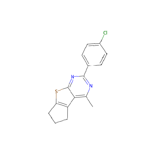 Cc1nc(-c2ccc(Cl)cc2)nc2sc3c(c12)CCC3